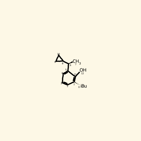 CC[C@@H](C)c1cccc([C@H](C)C2CC2)c1O